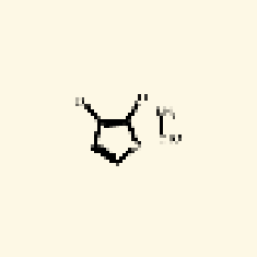 CCc1ccoc1CC.NC=O